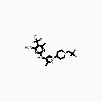 Cc1nn(C2CCN(CC(F)(F)F)CC2)cc1Nc1nc(C)c(C(F)(F)F)c(N)n1